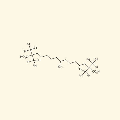 [2H]C([2H])([2H])C(CCCCCC(O)CCCCCC(C(=O)O)(C([2H])([2H])[2H])C([2H])([2H])[2H])(C(=O)O)C([2H])([2H])[2H]